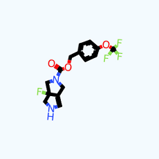 O=C(OCc1ccc(OC(F)(F)F)cc1)N1CC2=CNCC2(F)C1